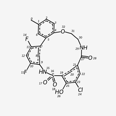 Cc1ccc2c(c1)-c1cc(c(F)cc1F)NS(=O)(=O)c1cc(cc(Cl)c1O)C(=O)NCCO2